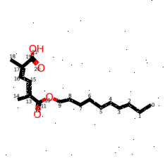 CCCCCCCCCCOC(=O)C(C)=CC=C(C)C(=O)O